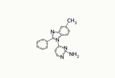 Cc1ccc2c(c1)nc(-c1ccccc1)n2-c1ccnc(N)n1